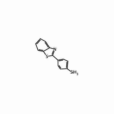 [SiH3]c1ccc(-c2nc3ccccc3s2)cc1